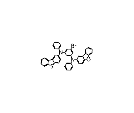 Brc1cc(N(c2ccccc2)c2ccc3oc4ccccc4c3c2)cc(N(c2ccccc2)c2ccc3sc4ccccc4c3c2)c1